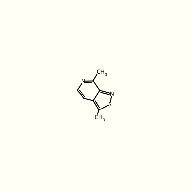 Cc1snc2c(C)nccc12